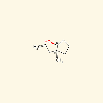 C=CC[C@@]1(C)CCC[C@@H]1O